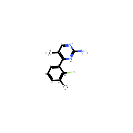 Cc1cnc(N)nc1-c1cccc(C#N)c1F